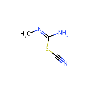 CN=C(N)SC#N